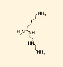 NCCCCCC(N)NCCNCCN